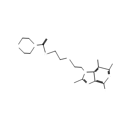 Cc1nc(N)c2nc(C)n(CCOCCNC(=O)N3CCOCC3)c2c1C